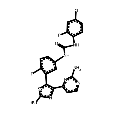 CC(C)(C)c1nc(-c2ccnc(N)n2)c(-c2cc(NC(=O)Nc3ccc(Cl)cc3F)ccc2F)s1